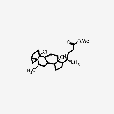 COC(=O)CC[C@@H](C)C1CCC2C3C[C@@H](C)C45CC4CC[C@]5(C)C3CC[C@@]21C